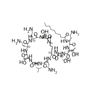 CCCCCCCCC(=O)N[C@@H](CCN)C(=O)N[C@H](C(=O)N[C@H](CO)C(=O)N[C@H]1CCNC(=O)[C@H]([C@@H](C)O)NC(=O)[C@H](CCN)NC(=O)[C@H](CCN)NC(=O)[C@H]([C@@H](C)O)NC(=O)[C@@H](CC(C)C)NC(=O)[C@H](CCN)NC1=O)[C@@H](C)O